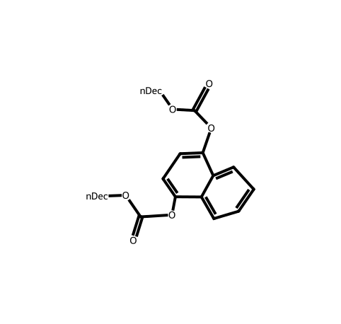 CCCCCCCCCCOC(=O)Oc1ccc(OC(=O)OCCCCCCCCCC)c2ccccc12